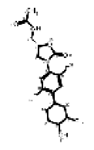 CC(=O)NC[C@H]1CN(c2cc(F)c(C3CCC(O)C(F)C3)cc2F)C(=O)O1